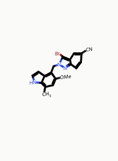 COc1cc(C)c2[nH]ccc2c1Cn1nc2ccc(C#N)cc2c1Br